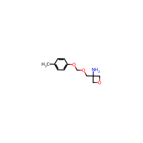 Cc1ccc(OCOCC2(N)COC2)cc1